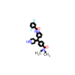 CCN(CC)C(=O)c1ccc(C(=C2CCNCC2)c2cccc(NC(=O)c3cc(F)ccc3F)c2)cc1